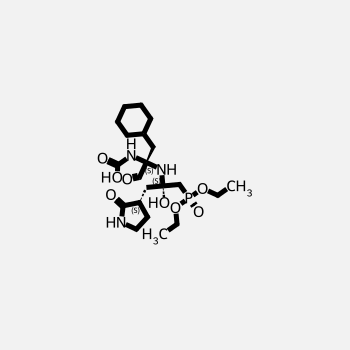 CCOP(=O)(C[C@@](O)(C[C@@H]1CCNC1=O)N[C@@](C=O)(CC1CCCCC1)NC(=O)O)OCC